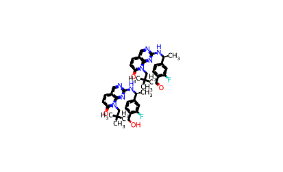 C[C@H](Nc1ncc2ccc(=O)n(CC(C)(C)C)c2n1)c1ccc(C=O)c(F)c1.C[C@H](Nc1ncc2ccc(=O)n(CC(C)(C)C)c2n1)c1ccc(CO)c(F)c1